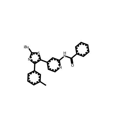 CCC(C)c1nc(-c2cccc(C)c2)c(-c2ccnc(NC(=O)c3ccccc3)c2)s1